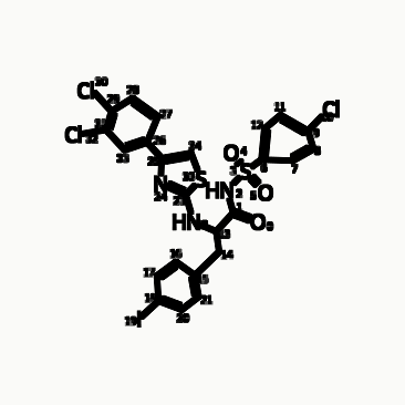 O=C(NS(=O)(=O)c1ccc(Cl)cc1)C(Cc1ccc(I)cc1)Nc1nc(-c2ccc(Cl)c(Cl)c2)cs1